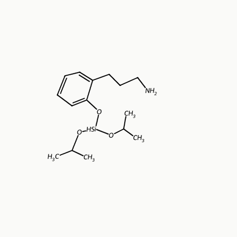 CC(C)O[SiH](Oc1ccccc1CCCN)OC(C)C